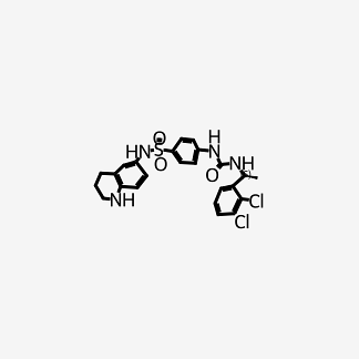 C[C@H](NC(=O)Nc1ccc(S(=O)(=O)Nc2ccc3c(c2)CCCN3)cc1)c1cccc(Cl)c1Cl